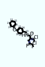 C/C(Cl)=C(\C=C(\F)C(C)Cl)C(=O)NCc1ccc(Oc2ccccc2)cc1